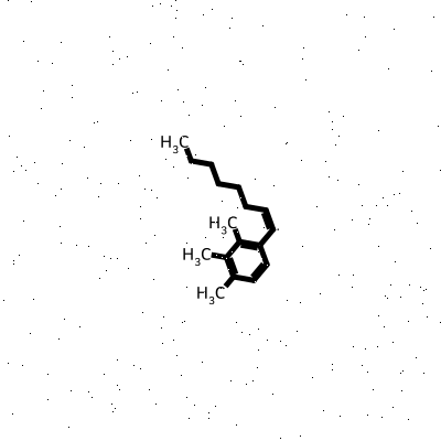 CCCCCC/C=[C]\c1ccc(C)c(C)c1C